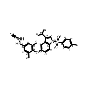 Cc1ccc(S(=O)(=O)n2cc(C(C)C)c3cc(Oc4c(C)cc(NNC#N)cc4C)ccc32)cc1